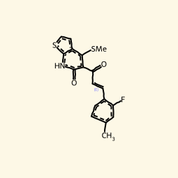 CSc1c(C(=O)/C=C/c2ccc(C)cc2F)c(=O)[nH]c2sccc12